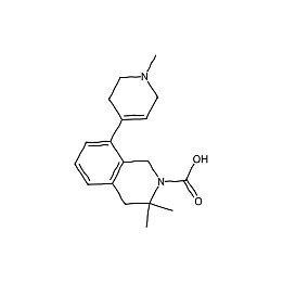 CN1CC=C(c2cccc3c2CN(C(=O)O)C(C)(C)C3)CC1